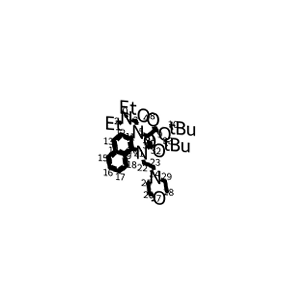 CCN(CC)C(=O)N(CC(=O)OC(C)(C)C)c1ccc2ccccc2c1N(CCN1CCOCC1)C(=O)OC(C)(C)C